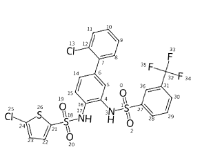 O=S(=O)(Nc1cc(-c2ccccc2Cl)ccc1NS(=O)(=O)c1ccc(Cl)s1)c1cccc(C(F)(F)F)c1